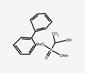 COP(=O)(OC)C(O)C(Cl)(Cl)Cl.c1ccc(-c2ccccc2)cc1